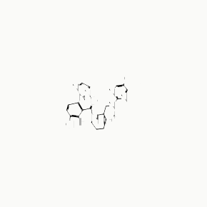 Cc1ccc(-n2nccn2)c(C(=O)N2CCC[C@@H](C)C2CNc2ncc(C(F)(F)F)cn2)c1F